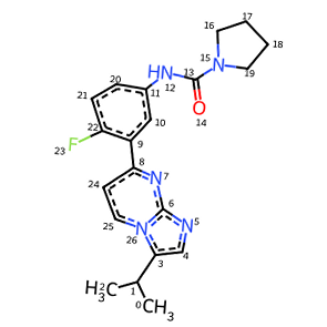 CC(C)c1cnc2nc(-c3cc(NC(=O)N4CCCC4)ccc3F)ccn12